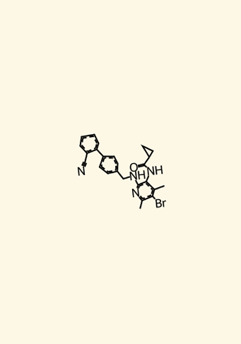 Cc1nc(NCc2ccc(-c3ccccc3C#N)cc2)c(NC(=O)C2CC2)c(C)c1Br